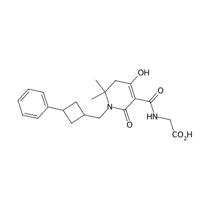 CC1(C)CC(O)=C(C(=O)NCC(=O)O)C(=O)N1CC1CC(c2ccccc2)C1